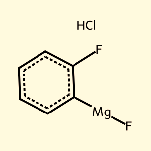 Cl.[F][Mg][c]1ccccc1F